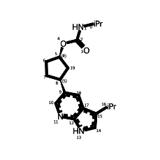 CC(C)NC(=O)O[C@@H]1CC[C@H](c2cnc3[nH]cc(C(C)C)c3c2)C1